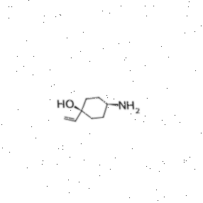 C=C[C@]1(O)CC[C@@H](N)CC1